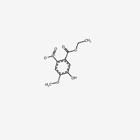 CCOC(=O)c1cc(O)c(OC)cc1[N+](=O)[O-]